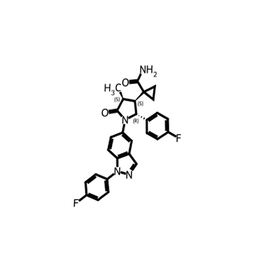 C[C@@H]1C(=O)N(c2ccc3c(cnn3-c3ccc(F)cc3)c2)[C@@H](c2ccc(F)cc2)[C@@H]1C1(C(N)=O)CC1